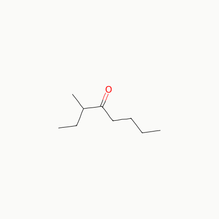 CCCCC(=O)C(C)CC